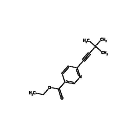 CCOC(=O)c1ccc(C#CS(C)(C)C)nc1